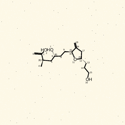 C=C(O)[C@H](C)C[C@H](O)CC[C@@H]1O[C@@H](CCCO)CC1=C